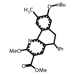 CCCCOc1cc2c(cc1C)-c1nc(OC)c(C(=O)OC)cc1C(C(C)C)C2